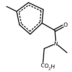 Cc1ccc(C(=O)N(C)CC(=O)O)cc1